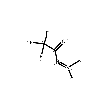 CS(C)=NC(=O)C(F)(F)F